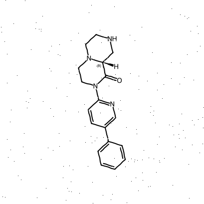 O=C1[C@H]2CNCCN2CCN1c1ccc(-c2ccccc2)cn1